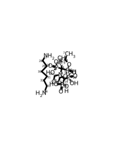 CCOP(=O)(OCC)C(CC)(N(CC)C(P(=O)(O)O)P(=O)(O)O)P(=O)(O)O.NCCCCCCN